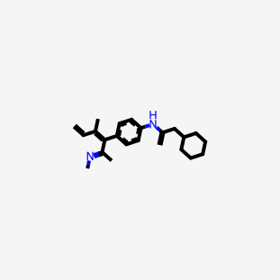 C=C/C(C)=C(\C(C)=N\C)c1ccc(NC(=C)CC2CCCCC2)cc1